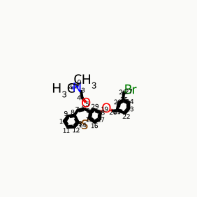 CN(C)CCOC1=Cc2ccccc2Sc2ccc(OCc3cccc(CBr)c3)cc21